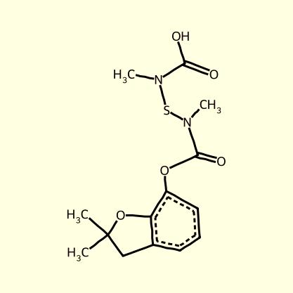 CN(SN(C)C(=O)Oc1cccc2c1OC(C)(C)C2)C(=O)O